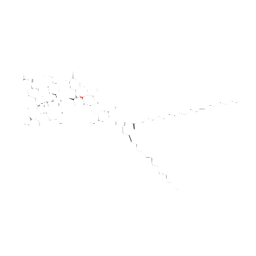 CCCCCCCCCCCCC/C=C/[C@@H](O)[C@H](CO[C@@H]1OC(CO)[C@@H](O[C@@H]2OC(CO)[C@H](O[C@@H]3OC(CO)[C@H](O)[C@H](O[C@@H]4OC(CO)[C@H](O[C@@H]5OC(CO)[C@H](O)[C@H](O)C5NC(C)=O)[C@H](O[C@]5(C(=O)O)CC(O)[C@@H](NC(=O)CO)C([C@H](O)[C@H](O)CO)O5)C4O)C3NC(C)=O)[C@H](O)C2O)[C@H](O)C1O)NC(=O)CCCCCCCCCCCCCCCCCCCCC